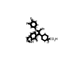 CC(C)c1c(C2CCC(F)(C(=O)O)CC2)c2c(F)c3[nH]ncc3cc2n1-c1ccc(F)c(F)c1